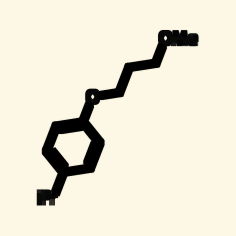 COCCCOc1ccc(C(C)C)cc1